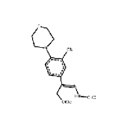 COC/C(=N\NC=O)c1ccc(N2CCOCC2)c(C#N)c1